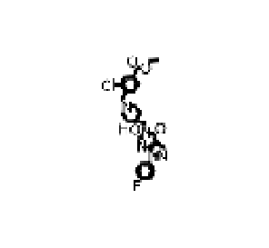 CCOC(=O)c1ccc(CN2CCC(O)(Cn3cnc4c(cnn4-c4ccc(F)cc4)c3=O)CC2)c(Cl)c1